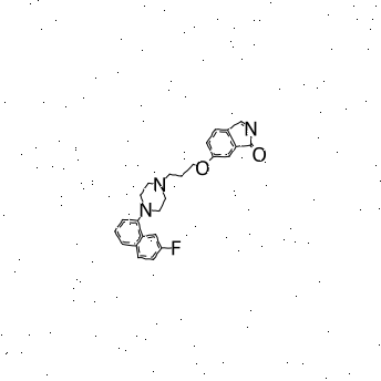 O=C1N=Cc2ccc(OCCCN3CCN(c4cccc5ccc(F)cc45)CC3)cc21